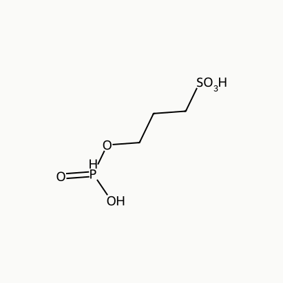 O=[PH](O)OCCCS(=O)(=O)O